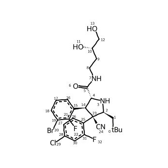 CC(C)(C)C[C@@H]1N[C@@H](C(=O)NCC[C@H](O)CO)[C@H](c2cccc(Br)c2F)[C@@]1(C#N)c1ccc(Cl)cc1F